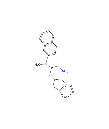 CN(c1ccc2ccccc2c1)C(CN)CC1Cc2ccccc2C1